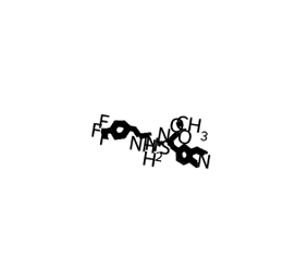 COC(=O)c1nc(NCC(N)Cc2ccc(C(F)(F)F)cc2)sc1-c1ccc2cnccc2c1